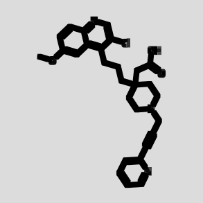 COc1ccc2ncc(Cl)c(CCCC3(CC(=O)O)CCN(CC#Cc4ccccn4)CC3)c2c1